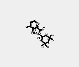 Cc1ccnc(C(=O)NC2CC(C)(C)CC(C)(C)C2)c1O